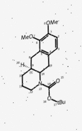 COc1ccc2c(c1OC)C[C@@H]1CCCN(C(=O)OC(C)(C)C)C1C2